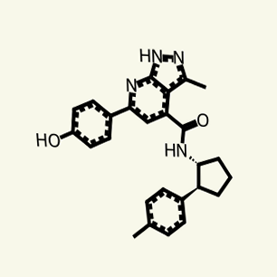 Cc1ccc([C@@H]2CCC[C@H]2NC(=O)c2cc(-c3ccc(O)cc3)nc3[nH]nc(C)c23)cc1